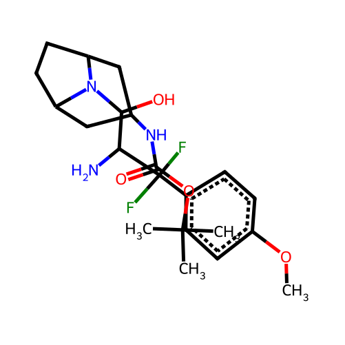 COc1ccc(C(F)(F)C(N)C(O)N2C3CCC2CC(NC(=O)OC(C)(C)C)C3)cc1